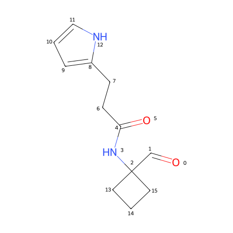 O=CC1(NC(=O)CCc2ccc[nH]2)CCC1